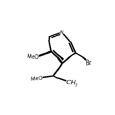 COc1cncc(Br)c1C(C)OC